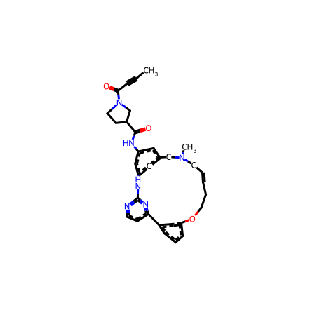 CC#CC(=O)N1CCC(C(=O)Nc2cc3cc(c2)Nc2nccc(n2)-c2cccc(c2)OCC/C=C/CN(C)C3)C1